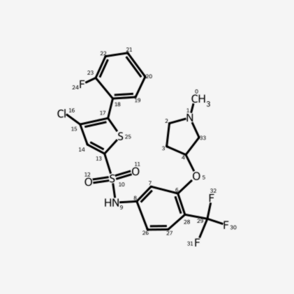 CN1CCC(Oc2cc(NS(=O)(=O)c3cc(Cl)c(-c4ccccc4F)s3)ccc2C(F)(F)F)C1